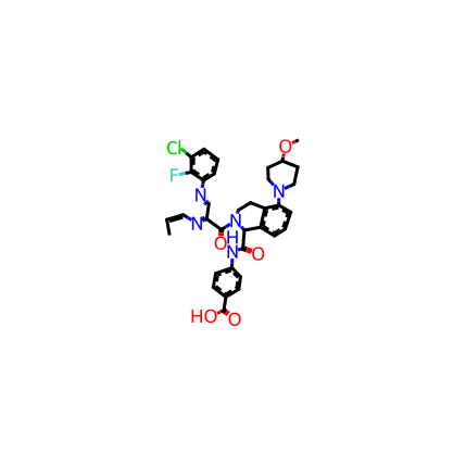 C\C=C/N=C(\C=N\c1cccc(Cl)c1F)C(=O)N1CCc2c(cccc2N2CCC(OC)CC2)C1C(=O)Nc1ccc(C(=O)O)cc1